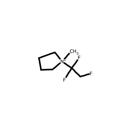 C[N+]1(C(F)(F)CF)CCCC1